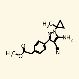 COC(=O)Cc1ccc(-c2nn(C3(C)CC3)c(N)c2C#N)cc1